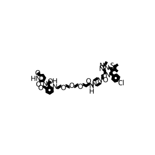 Cc1sc2c(c1C)C(c1ccc(Cl)cc1)=N[C@@H](CC(=O)N1CCN(NC(=O)CCOCCOCCOCCNc3cccc4c3C(=O)N(C3CCC(=O)NC3=O)C4=O)CC1)c1nnc(C)n1-2